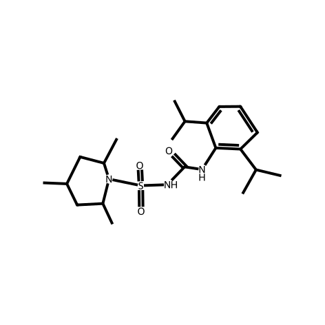 CC1CC(C)N(S(=O)(=O)NC(=O)Nc2c(C(C)C)cccc2C(C)C)C(C)C1